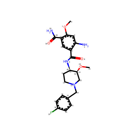 COc1cc(N)c(C(=O)N[C@@H]2CCN(Cc3ccc(F)cc3)C[C@@H]2OC)cc1C(N)=O